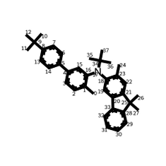 Cc1ccc(-c2ccc(C(C)(C)C)cc2)cc1N(c1cc2c(cc1C)C(C)(C)c1ccccc1-2)C(C)(C)C